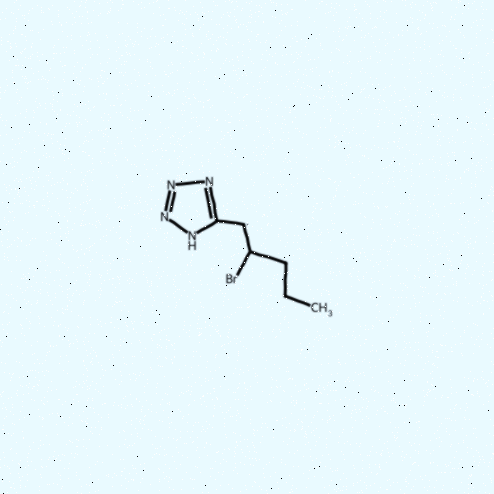 CCCC(Br)[CH]c1nnn[nH]1